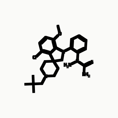 COc1ccc(Cl)c2c1N(c1ccccc1N(N)C(N)=S)CC21CCN(CC(C)(C)C)CC1